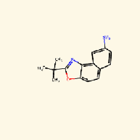 CC(C)(C)c1nc2c(ccc3ccc(N)cc32)o1